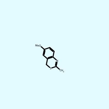 COc1ccc2c(c1)CSC(C)=N2